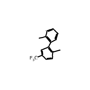 Cc1[c]cccc1-c1cc(C(F)(F)F)ccc1C